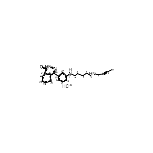 CC#CCNCCCCCNc1cccc(-c2n[nH]c(=O)c3ccccc23)c1.Cl